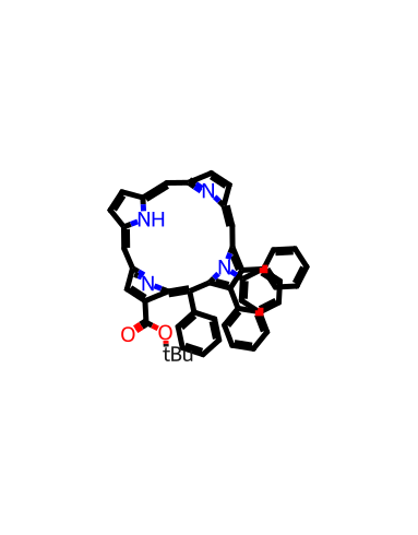 CC(C)(C)OC(=O)C1=Cc2cc3ccc(cc4nc(cc5c(-c6ccccc6)c(-c6ccccc6)c(c(-c6ccccc6)c1n2)n5-c1ccccc1)C=C4)[nH]3